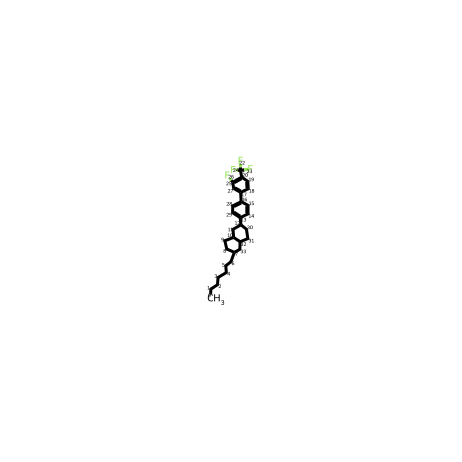 CCCCCCCC1CCC2CC(c3ccc(-c4ccc(C(F)(F)F)c(F)c4)cc3)CCC2C1